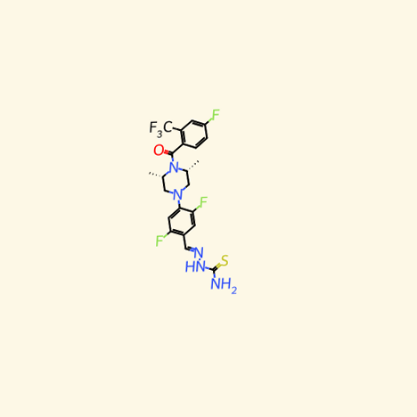 C[C@@H]1CN(c2cc(F)c(C=NNC(N)=S)cc2F)C[C@H](C)N1C(=O)c1ccc(F)cc1C(F)(F)F